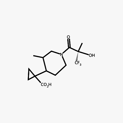 CC1CN(C(=O)[C@@](C)(O)C(F)(F)F)CCC1C1(C(=O)O)CC1